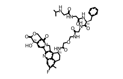 Cc1c(F)cc2nc3c(c4c2c1CC[C@@H]4NC(=O)COCNC(=O)CNC(=O)[C@H](Cc1ccccc1)NC(=O)CNC(=O)CNC(C)C)Cn1c-3cc2c(c1=O)COC(=O)[C@H]2O